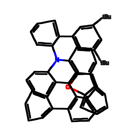 CC(C)(C)c1cc(-c2ccccc2N(c2ccccc2-c2cccc3cccc(-c4ccccc4)c23)c2cccc3c2oc2ccccc23)cc(C(C)(C)C)c1